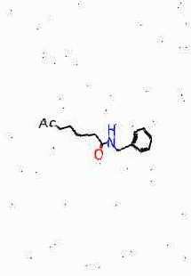 CC(=O)CCCCC(=O)NCc1ccccc1